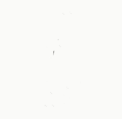 CCn1ncc2c1CC[C@@H](NC(=O)[C@@H]1Cc3sc4c(c3C1)C(c1ccccc1Cl)=NC1(CC1)c1nnc(C)n1-4)C2